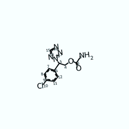 NC(=O)OCC(c1ccc(Cl)cc1)n1ncnn1